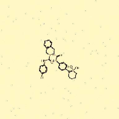 O=C(Nc1ccc(N2CCCCS2(O)O)cc1)[C@H]1Cc2ccccc2CN1C(=O)Nc1ccc(Cl)cc1